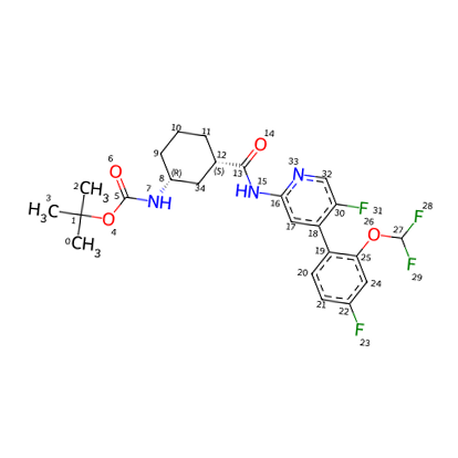 CC(C)(C)OC(=O)N[C@@H]1CCC[C@H](C(=O)Nc2cc(-c3ccc(F)cc3OC(F)F)c(F)cn2)C1